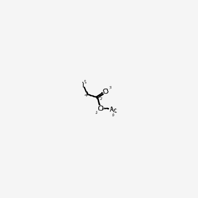 CC(=O)OC(=O)CI